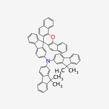 CC1(C)c2ccccc2-c2ccc(N(c3ccc4c(c3)C(C)(C)c3ccccc3-4)c3ccc4c(c3)C3(c5ccccc5-4)c4ccc5ccccc5c4Oc4c3ccc3ccccc43)cc21